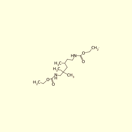 [CH2]COC(=O)NCCC(C)CC(C)(C)CNC(=O)OC[CH2]